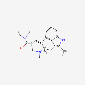 CBc1[nH]c2cccc3c2c1C[C@H]1C3=C[C@@H](C(=O)N(CC)CC)CN1C